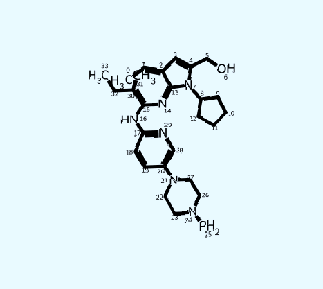 C/C=C1/C=C(CO)N(C2CCCC2)/C1=N/C(Nc1ccc(N2CCN(P)CC2)cn1)=C(\C)CC